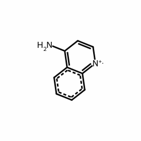 NC1=c2ccccc2=[N+]C=C1